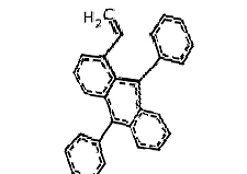 C=Cc1cccc2c(-c3ccccc3)c3ccccc3c(-c3ccccc3)c12